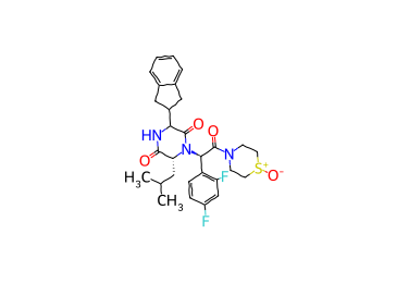 CC(C)C[C@@H]1C(=O)NC(C2Cc3ccccc3C2)C(=O)N1[C@@H](C(=O)N1CC[S+]([O-])CC1)c1ccc(F)cc1F